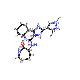 Cc1nn(C)cc1-c1nc2c3ccccc3nc(Nc3ccccnc3=O)n2n1